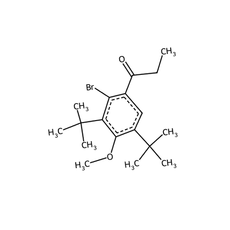 CCC(=O)c1cc(C(C)(C)C)c(OC)c(C(C)(C)C)c1Br